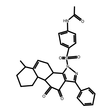 CC(=O)Nc1ccc(S(=O)(=O)n2nc(-c3ccccc3)c3c2C2CC=C4C(C)CCCC4C2C(=O)C3=O)cc1